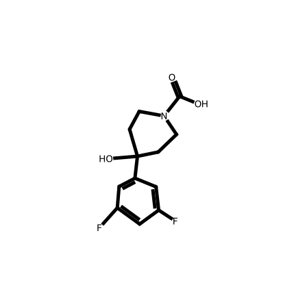 O=C(O)N1CCC(O)(c2cc(F)cc(F)c2)CC1